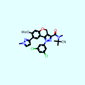 COc1cc2c(cc1-c1ccn(C)n1)-c1c(c(C(=O)N(C)C(C)(C)C#N)nn1-c1cc(Cl)cc(Cl)c1)CO2